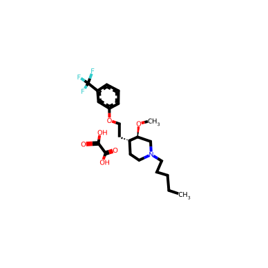 CCCCCN1CC[C@H](CCOc2cccc(C(F)(F)F)c2)[C@@H](OC)C1.O=C(O)C(=O)O